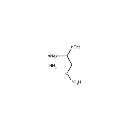 CCCCCCCCC(CCCCCC)COS(=O)(=O)O.N